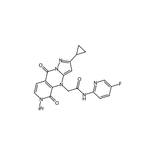 CC(C)n1ccc2c(=O)n3nc(C4CC4)cc3n(CC(=O)Nc3ccc(F)cn3)c2c1=O